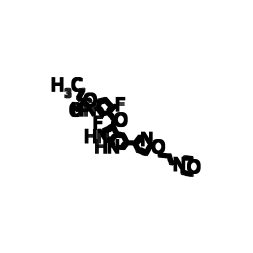 CCCS(=O)(=O)Nc1ccc(F)c(C(=O)C2=CNC3NC=C(c4ccc(OCCCN5CCOCC5)nc4)C=C23)c1F